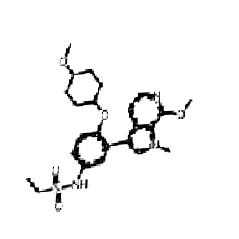 CCS(=O)(=O)Nc1ccc(OC2CCC(OC)CC2)c(-c2cn(C)c3c(OC)nccc23)c1